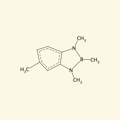 CB1N(C)c2ccc(C)cc2N1C